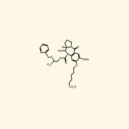 COc1cc2c(cc1OCCCCCC(=O)O)N(C(=O)OCC(C)SSc1ccccn1)C(O)[C@@H]1CCCN1C2=O